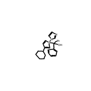 CC(C)C(O)(c1ccccc1)S1(n2ccnc2)C=CC(C2CCCCC2)=C1